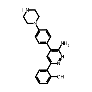 Nc1nnc(-c2ccccc2O)cc1-c1ccc(N2CCNCC2)cc1